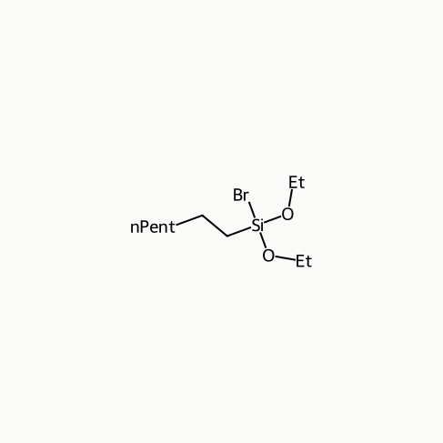 CCCCCCC[Si](Br)(OCC)OCC